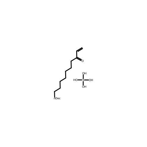 C=CC(=O)CCCCCCCCCCCCCCCCC.[OH][Ti]([OH])([OH])[OH]